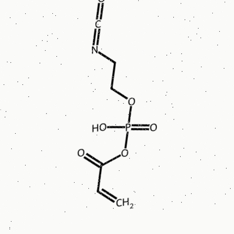 C=CC(=O)OP(=O)(O)OCCN=C=O